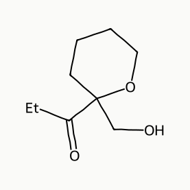 CCC(=O)C1(CO)CCCCO1